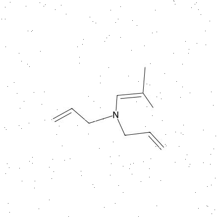 C=CCN(C=C(C)C)CC=C